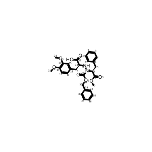 COC(=O)[C@H](Cc1ccccc1)N(N[C@@H](Cc1ccc(OC)c(OC)c1)C(=O)O)C(=O)OCc1ccccc1